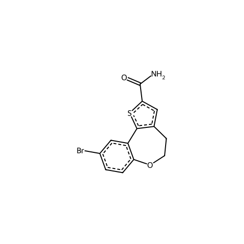 NC(=O)c1cc2c(s1)-c1cc(Br)ccc1OCC2